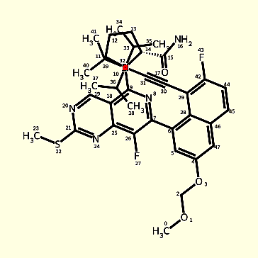 COCOc1cc(-c2nc(N3CCC[C@@H]3C(N)=O)c3cnc(SC)nc3c2F)c2c(C#C[Si](C(C)C)(C(C)C)C(C)C)c(F)ccc2c1